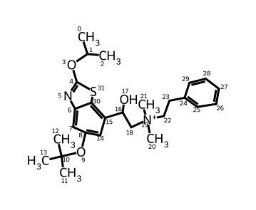 CC(C)Oc1nc2cc(OC(C)(C)C)cc(C(O)C[N+](C)(C)CCc3ccccc3)c2s1